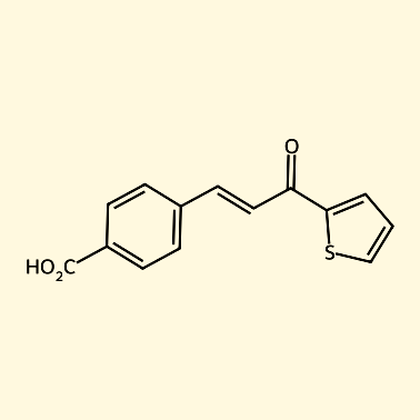 O=C(O)c1ccc(C=CC(=O)c2cccs2)cc1